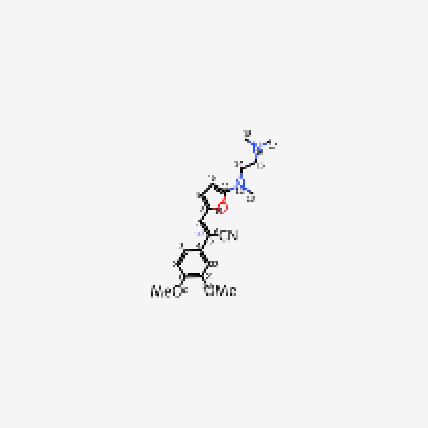 COc1ccc(/C(C#N)=C/c2ccc(N(C)CCN(C)C)o2)cc1OC